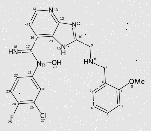 COc1ccccc1CNCc1nc2nccc(C(=N)N(O)c3ccc(F)c(Cl)c3)c2[nH]1